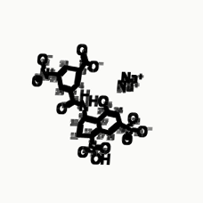 O=C([O-])c1cc(C(=O)Nc2ccc(S(=O)(=O)O)c3cc(S(=O)(=O)[O-])cc(O)c23)cc([N+](=O)[O-])c1.[Na+].[Na+]